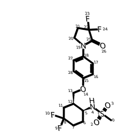 CS(=O)(=O)N[C@H]1CCC(F)(F)C[C@H]1COc1ccc(N2CCC(F)(F)C2=O)cc1